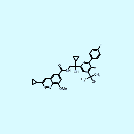 COc1cc(C(=O)NCC(O)(c2cc(C(C)(C)O)c(F)c(-c3ccc(F)cc3)n2)C2CC2)cc2cc(C3CC3)nnc12